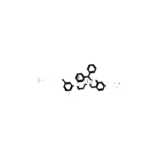 COc1ccc(CN(CC[C@@H](C)Oc2cccc(CC(=O)O)c2)CC(c2ccccc2)c2ccccc2)c(OC)c1